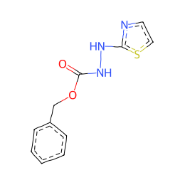 O=C(NNc1nccs1)OCc1ccccc1